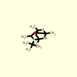 CC12CC3(C)PC(C)(CC(C)(O1)P3C(C)(C)C)O2